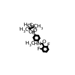 Cc1cc(B2OC(C)(C)C(C)(C)O2)ccc1NC(=O)c1c(F)cccc1F